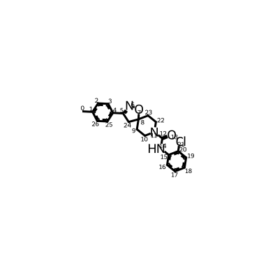 Cc1ccc(C2=NOC3(CCN(C(=O)Nc4ccccc4Cl)CC3)C2)cc1